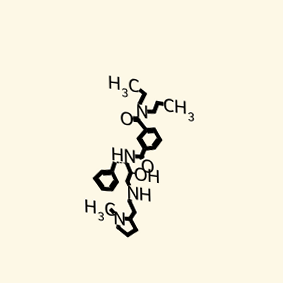 CCCN(CCC)C(=O)c1cccc(C(=O)N[C@@H](Cc2ccccc2)[C@H](O)CNCCC2CCCN2C)c1